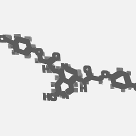 O=C(COc1ccc(Cl)cc1)Nc1cnc(NC(=O)COc2ccc(Cl)cc2)c2cc(O)ncc12